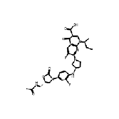 CCC(C)n1cc(C(=O)O)c(=O)c2cc(F)c(N3CC[C@@H](Nc4ccc(N5C[C@H](CNC(C)=O)OC5=O)cc4F)C3)nc21